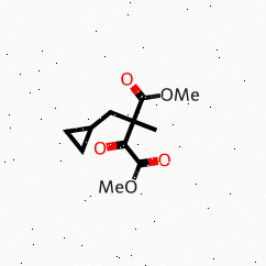 COC(=O)C(=O)C(C)(CC1CC1)C(=O)OC